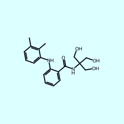 Cc1cccc(Nc2ccccc2C(=O)NC(CO)(CO)CO)c1C